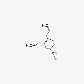 C=CCc1cc[c]([Mg][Br])cc1CC=C